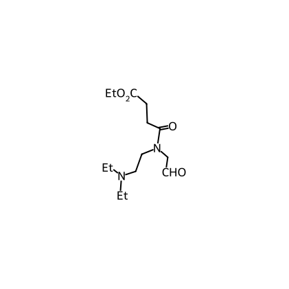 CCOC(=O)CCC(=O)N(CC=O)CCN(CC)CC